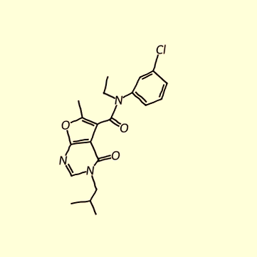 CCN(C(=O)c1c(C)oc2ncn(CC(C)C)c(=O)c12)c1cccc(Cl)c1